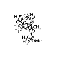 COC(C)(C)CCOC1(C)CC2(COC(C)(C(=O)C(C)OC(C)(C)C(C)=O)P(C)C2)C1=O